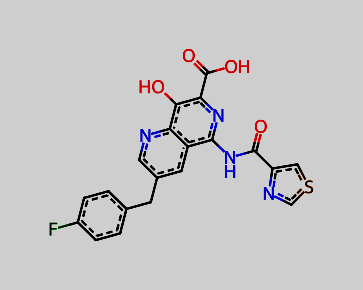 O=C(Nc1nc(C(=O)O)c(O)c2ncc(Cc3ccc(F)cc3)cc12)c1cscn1